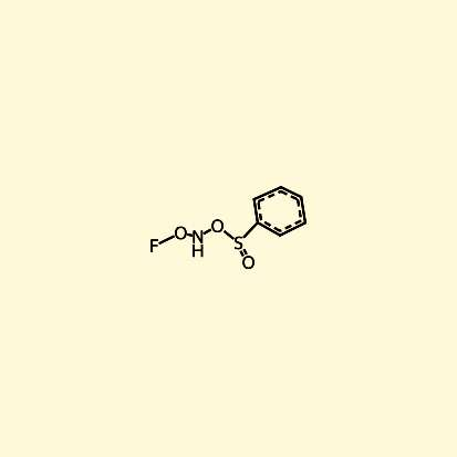 O=S(ONOF)c1ccccc1